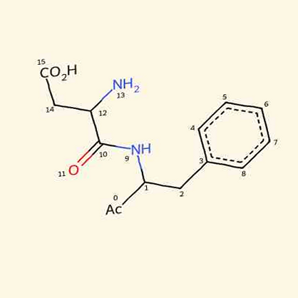 CC(=O)C(Cc1ccccc1)NC(=O)C(N)CC(=O)O